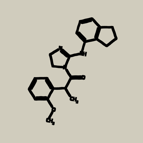 COc1ccccc1C(C)C(=O)N1CCN=C1Nc1cccc2c1CCC2